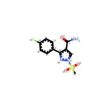 CS(=O)(=O)n1cc(C(N)=O)c(-c2ccc(F)cc2)n1